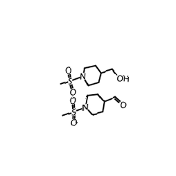 CS(=O)(=O)N1CCC(C=O)CC1.CS(=O)(=O)N1CCC(CO)CC1